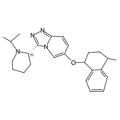 CC1CCC(Oc2ccc3nnc([C@@H]4CCCCN4C(C)C)n3c2)c2ccccc21